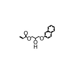 C=CC(=O)OCC(O)COc1ccc2ccccc2c1